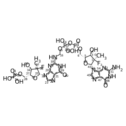 C[C@@]1(F)[C@H](O)[C@@H](COP(=O)(O)OP(=O)(O)OCNc2nc3c(ncn3[C@@H]3O[C@H](COP(=O)(O)O)[C@@H](O)[C@@]3(C)F)c(=O)[nH]2)O[C@H]1n1cnc2c(=O)[nH]c(N)nc21